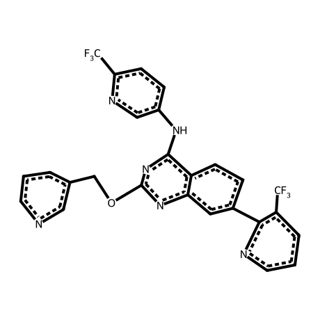 FC(F)(F)c1ccc(Nc2nc(OCc3cccnc3)nc3cc(-c4ncccc4C(F)(F)F)ccc23)cn1